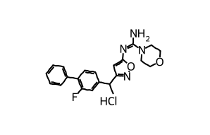 CC(c1ccc(-c2ccccc2)c(F)c1)c1cc(/N=C(/N)N2CCOCC2)on1.Cl